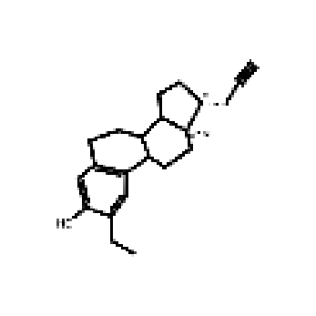 C#CC[C@H]1CCC2C3CCc4cc(O)c(CC)cc4C3CC[C@@]21C